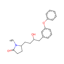 CC[CH]N1C(=O)CCC1CCC(O)Cc1cccc(Oc2ccccc2)c1